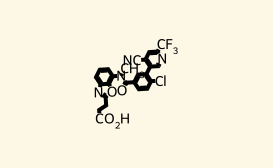 CN(C(=O)c1ccc(Cl)c(-c2cnc(C(F)(F)F)cc2C#N)c1)c1cccc2nc(CCC(=O)O)oc12